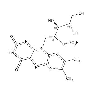 Cc1cc2nc3c(=O)[nH]c(=O)nc-3n(C[C@@H](OS(=O)(=O)O)[C@@H](O)[C@@H](O)CO)c2cc1C